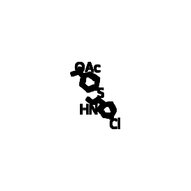 CC(=O)OC(C)c1ccc(Sc2c(C)[nH]c3cc(Cl)ccc23)cc1